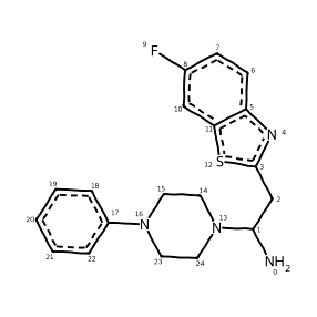 NC(Cc1nc2ccc(F)cc2s1)N1CCN(c2ccccc2)CC1